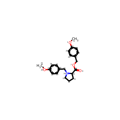 COc1ccc(COC(=O)C2CCCN2Cc2ccc(OC)cc2)cc1